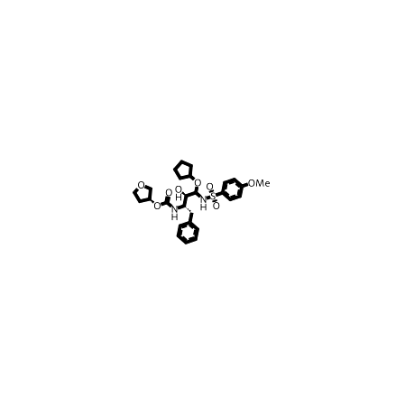 COc1ccc(S(=O)(=O)NC(OC2CCCC2)[C@H](O)[C@H](Cc2ccccc2)NC(=O)O[C@H]2CCOC2)cc1